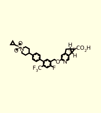 O=C(O)[C@@H]1[C@H]2Cc3cc(OCc4cc(-c5ccc(C6CCN(S(=O)(=O)C7CC7)CC6)cc5)c(C(F)(F)F)cc4F)ncc3[C@H]21